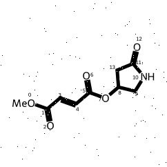 COC(=O)/C=C/C(=O)OC1CNC(=O)C1